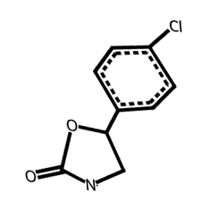 O=C1[N]CC(c2ccc(Cl)cc2)O1